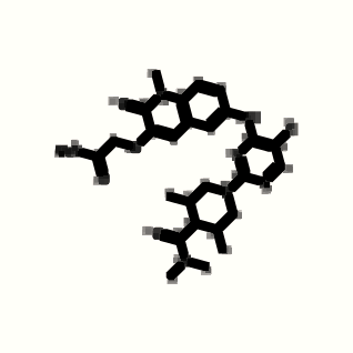 CNC(=O)COc1cc2cc(Nc3nc(N4CC(C)C(C(=O)N(C)C)C(C)C4)ncc3Cl)ccc2n(C)c1=O